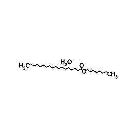 CCCCCCCCCCCCCCCCCC(=O)OCCCCCCCC.O